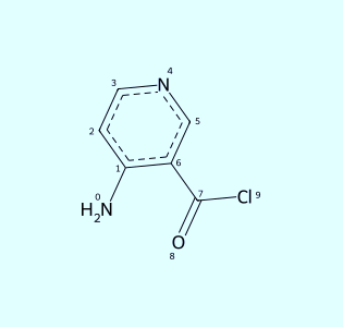 Nc1ccncc1C(=O)Cl